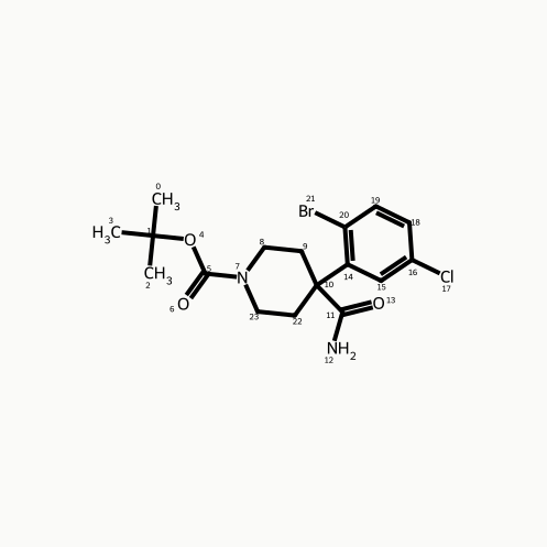 CC(C)(C)OC(=O)N1CCC(C(N)=O)(c2cc(Cl)ccc2Br)CC1